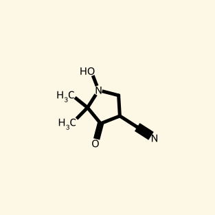 CC1(C)C(=O)C(C#N)CN1O